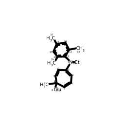 CCN(C1=CC=CC(C)(C(C)(C)C)C=C1)c1c(C)cc(C)cc1C